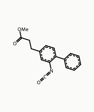 COC(=O)CCc1ccc(-c2ccccc2)c(N=C=O)c1